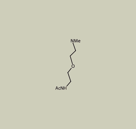 CNCCOCCNC(C)=O